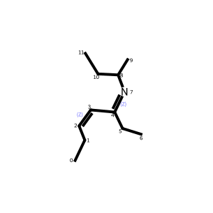 CC/C=C\C(CC)=N/C(C)CC